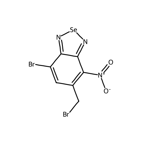 O=[N+]([O-])c1c(CBr)cc(Br)c2n[se]nc12